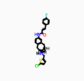 O=C(/C=C/c1ccc(F)cc1)Nc1ccc2c(c1)C[C@H]1CC[C@@H](C2)[C@H]1NCc1ccc(Cl)s1